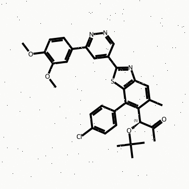 COc1ccc(-c2cc(-c3nc4cc(C)c([C@H](OC(C)(C)C)C(C)=O)c(-c5ccc(Cl)cc5)c4s3)cnn2)cc1OC